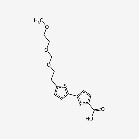 COCCOCOCCc1ccc(-c2ccc(C(=O)O)s2)s1